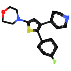 Fc1ccc(-c2sc(N3CCOCC3)cc2-c2ccncc2)cc1